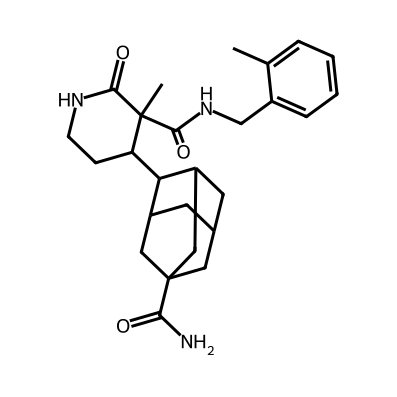 Cc1ccccc1CNC(=O)C1(C)C(=O)NCCC1C1C2CC3CC1CC(C(N)=O)(C3)C2